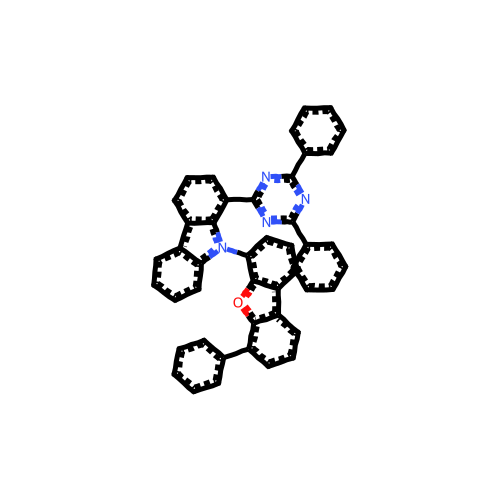 c1ccc(-c2nc(-c3ccccc3)nc(-c3cccc4c5ccccc5n(-c5cccc6c5oc5c(-c7ccccc7)cccc56)c34)n2)cc1